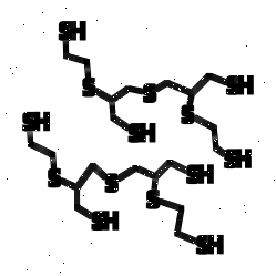 SCCSC(CS)CSCC(CS)SCCS.SCCSC(CS)CSCC(CS)SCCS